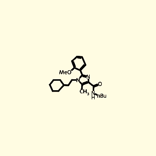 CCCCNC(=O)c1nc(-c2ccccc2OC)n(CCC2CCCCC2)c1C